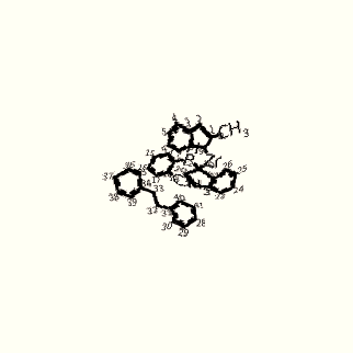 CC1=Cc2ccccc2[CH]1[Zr][C]1(Pc2ccccc2C)C=Cc2ccccc21.c1ccc(CCc2ccccc2)cc1